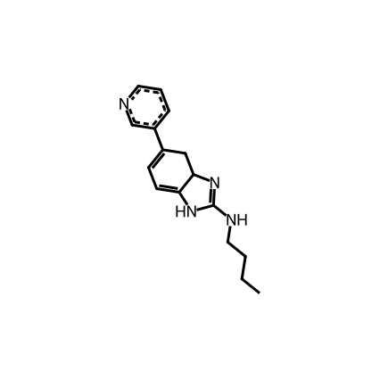 CCCCNC1=NC2CC(c3cccnc3)=CC=C2N1